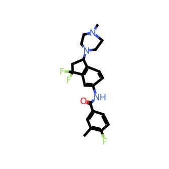 Cc1cc(C(=O)Nc2ccc3c(c2)C(F)(F)CC3N2CCN(C)CC2)ccc1F